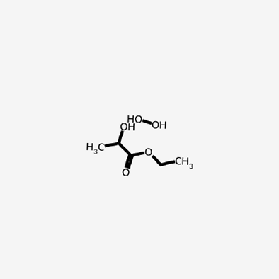 CCOC(=O)C(C)O.OO